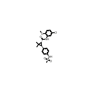 COc1ccc(Cl)cc1NC(=O)[C@@H]1[C@@H](c2ccc(NS(C)(=O)=O)cc2)C1(C)C